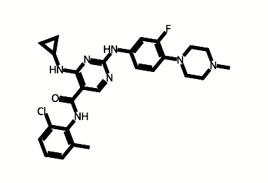 Cc1cccc(Cl)c1NC(=O)c1cnc(Nc2ccc(N3CCN(C)CC3)c(F)c2)nc1NC1CC1